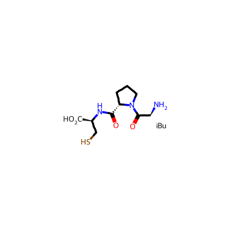 CC[C@H](C)[C@H](N)C(=O)N1CCC[C@H]1C(=O)N[C@@H](CS)C(=O)O